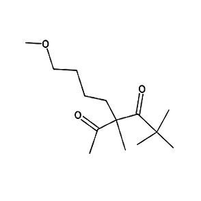 COCCCCC(C)(C(C)=O)C(=O)C(C)(C)C